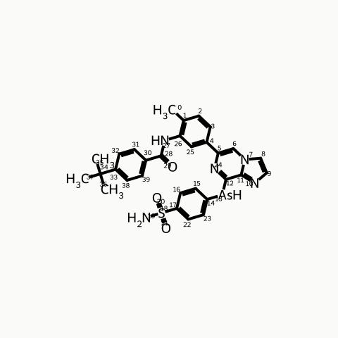 Cc1ccc(-c2cn3ccnc3c([AsH]c3ccc(S(N)(=O)=O)cc3)n2)cc1NC(=O)c1ccc(C(C)(C)C)cc1